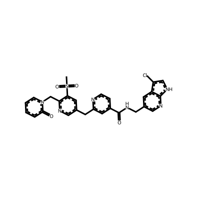 CS(=O)(=O)c1cc(Cc2cc(C(=O)NCc3cnc4[nH]cc(Cl)c4c3)ccn2)cnc1Cn1ccccc1=O